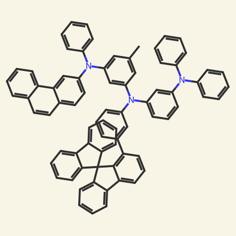 Cc1cc(N(c2cccc(-c3cccc4c3C3(c5ccccc5-c5ccccc53)c3ccccc3-4)c2)c2cccc(N(c3ccccc3)c3ccccc3)c2)cc(N(c2ccccc2)c2ccc3ccc4ccccc4c3c2)c1